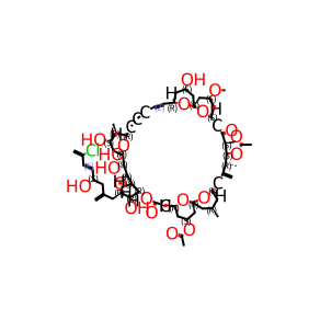 C=C(Cl)/C=C/[C@@H](O)CC(=C)C[C@H]1O[C@@H]2[C@H](C)[C@@H](OC(=O)C[C@H]3C[C@H](OC(C)=O)C[C@@]4(C[C@H](C)C[C@H](CC(=C)[C@@H](C)[C@H](OC(C)=O)[C@H](C)C(=O)C[C@@H]5C[C@H](OC)C[C@@]6(C[C@@H](O)C[C@H](/C=C\CCC[C@H]7O[C@](O)(C[C@H](O)[C@H]7C)[C@H]2O)O6)O5)O4)O3)[C@@H]1O